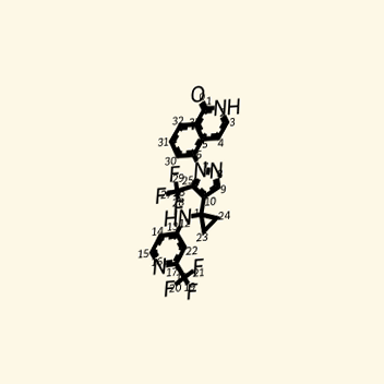 O=c1[nH]ccc2c(-n3ncc(C4(Nc5ccnc(C(F)(F)F)c5)CC4)c3C(F)(F)F)cccc12